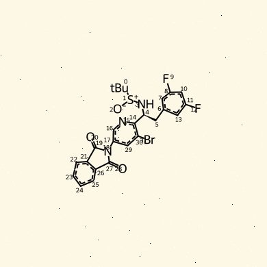 CC(C)(C)[S+]([O-])N[C@@H](Cc1cc(F)cc(F)c1)c1ncc(N2C(=O)c3ccccc3C2=O)cc1Br